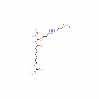 N=C(N)NCCCCCCC(=O)NC(NC=O)OCCCCNCCCN